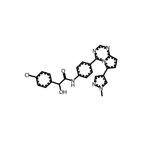 Cn1cc(-c2ccc3ncnc(-c4ccc(NC(=O)C(O)c5ccc(Cl)cc5)cc4)n23)cn1